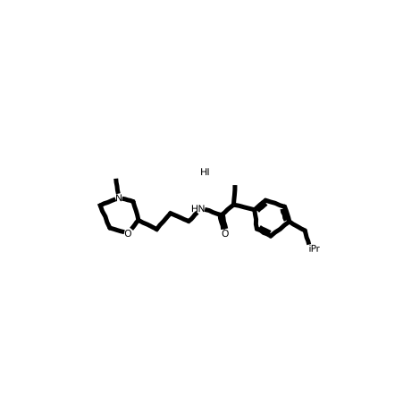 CC(C)Cc1ccc(C(C)C(=O)NCCCC2CN(C)CCO2)cc1.I